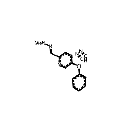 C#N.C#N.CNN=Cc1ccc(Oc2ccccc2)cn1